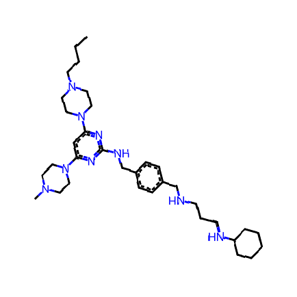 CCCCN1CCN(c2cc(N3CCN(C)CC3)nc(NCc3ccc(CNCCCNC4CCCCC4)cc3)n2)CC1